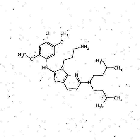 COc1cc(Nc2nc3ccc(N(CCC(C)C)CCC(C)C)nc3n2CCCN)c(OC)cc1Cl